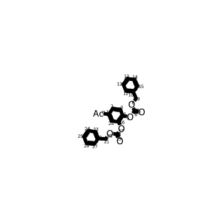 [CH2]C(=O)c1ccc(OC(=O)OCc2ccccc2)c(OC(=O)OCc2ccccc2)c1